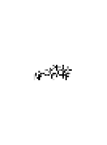 CC(O)(c1ccc(C(=O)N(C2CC2)[C@H]2CC[C@H](c3cccnc3)CC2)cc1)C(F)(F)F